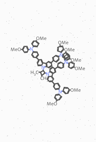 COc1ccc(N(c2ccc(OC)cc2)c2ccc(-c3ccc4c(c3)c3cc(-c5ccc(N(c6ccc(OC)cc6)c6ccc(OC)cc6)cc5)ccc3n4C3C(C)C(C)C3n3c4ccc(-c5ccc(N(c6ccc(OC)cc6)c6ccc(OC)cc6)cc5)cc4c4cc(-c5ccc(N(c6ccc(OC)cc6)c6ccc(OC)cc6)cc5)ccc43)cc2)cc1